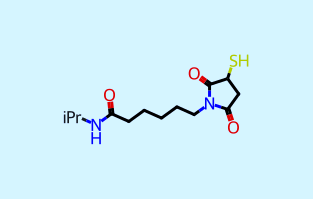 CC(C)NC(=O)CCCCCN1C(=O)CC(S)C1=O